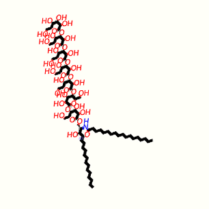 CCCCCCCCCCCCC/C=C/[C@@H](O)[C@H](CO[C@@H]1OC(CO)[C@@H](O[C@@H]2OC(CO)[C@H](O[C@@H]3OC(CO)[C@H](O)[C@H](O[C@H]4OC(CO)[C@H](O)[C@H](O[C@H]5OC(CO)[C@H](O)[C@H](O[C@H]6OC(CO)[C@H](O)[C@H](O[C@H]7OC(CO)[C@H](O)[C@H](O)C7O)C6O)C5O)C4O)C3O)[C@H](O)C2O)[C@H](O)C1O)NC(=O)CCCCCCCCCCCCCCCCC